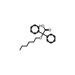 CCCCCCOC(C(=O)O)(c1ccccc1)c1ccccc1